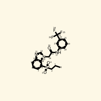 CCCS(=O)(=O)c1cccc2ncn(CC(=O)Nc3cccc(C(F)(F)F)c3)c12